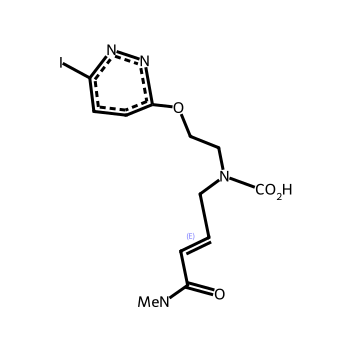 CNC(=O)/C=C/CN(CCOc1ccc(I)nn1)C(=O)O